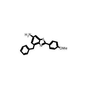 COc1ccc(-c2nc3c(Cc4ccccc4)cc(N)cc3s2)cc1